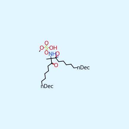 CCCCCCCCCCCCCCCC(=O)C(C)(N)C(=O)CCCCCCCCCCCCCCC.COS(=O)(=O)O